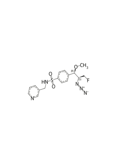 CO[C@H](c1ccc(S(=O)(=O)NCc2cccnc2)cc1)[C@@H](CF)N=[N+]=[N-]